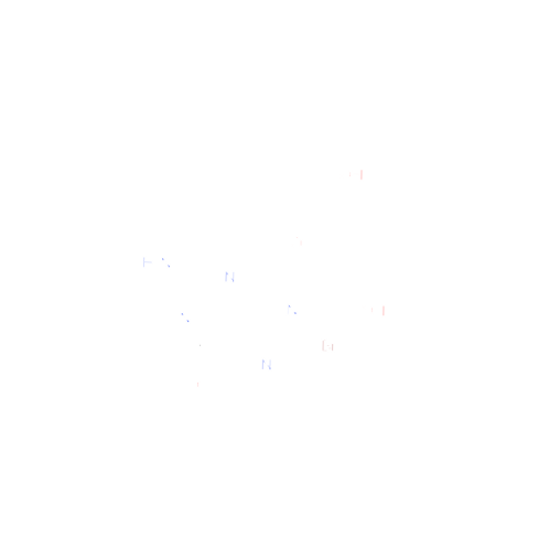 Nc1nc2c(nc(Br)n2C2OC(CO)CC2O)c(=O)[nH]1